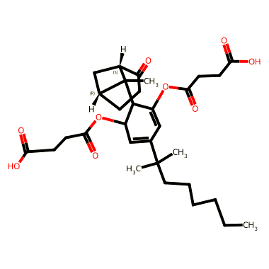 CCCCCCC(C)(C)C1=CC(OC(=O)CCC(=O)O)C(C2(C)[C@@H]3CCC(=O)[C@H]2C3)C(OC(=O)CCC(=O)O)=C1